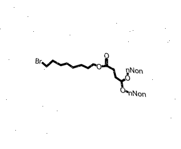 CCCCCCCCCOC(CCC(=O)OCCCCCCCCBr)OCCCCCCCCC